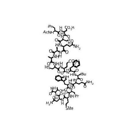 CCC(C)C(NC(=O)C(Cc1ccccc1)NC(=O)C(CCC(=O)O)NC(=O)C(CS)NC(=O)C(C)NC(=O)C(C)NC(=O)C(CCC(N)=O)NC(=O)C(CS)NC(=O)C(CC(=O)O)NC(=O)C(CC(C)C)NC(C)=O)C(=O)NC(CCC(N)=O)C(=O)NC(Cc1c[nH]c2ccccc12)C(=O)NC(CC(C)C)C(=O)NC(CCSC)C(=O)NC(CC(N)=O)C(=O)NC(C(N)=O)C(C)O